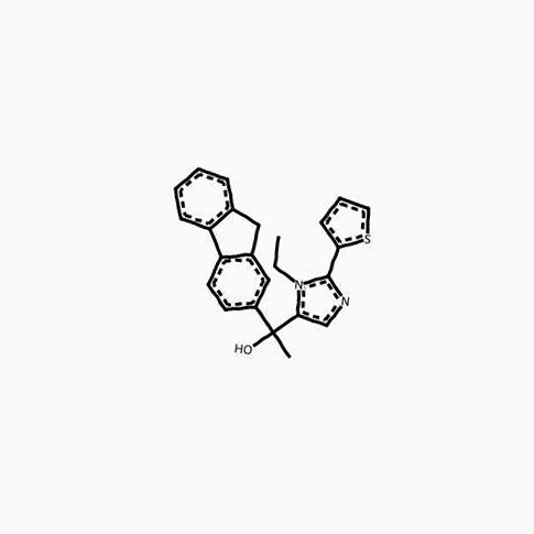 CCn1c(C(C)(O)c2ccc3c(c2)Cc2ccccc2-3)cnc1-c1cccs1